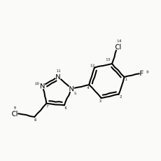 Fc1ccc(-n2cc(CCl)nn2)cc1Cl